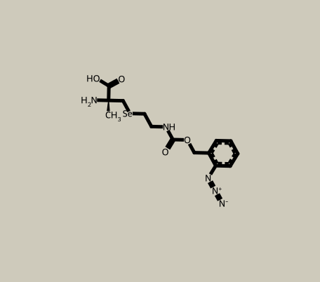 C[C@](N)(C[Se]CCNC(=O)OCc1ccccc1N=[N+]=[N-])C(=O)O